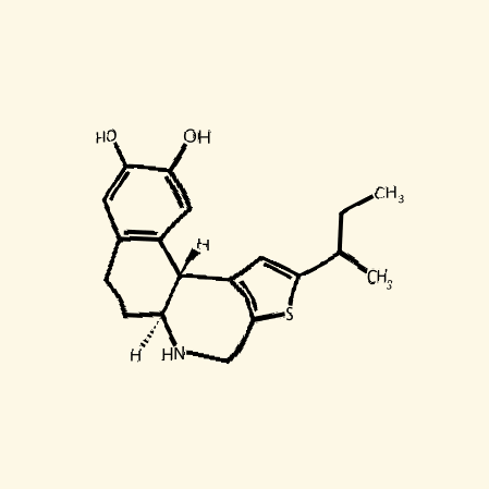 CCC(C)c1cc2c(s1)CN[C@H]1CCc3cc(O)c(O)cc3[C@H]21